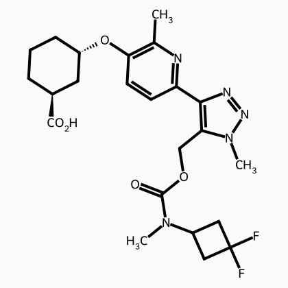 Cc1nc(-c2nnn(C)c2COC(=O)N(C)C2CC(F)(F)C2)ccc1O[C@H]1CCC[C@H](C(=O)O)C1